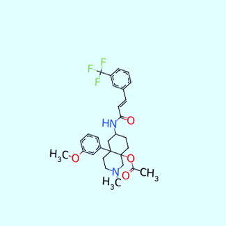 COc1cccc(C23CCN(C)CC2(OC(C)=O)CCC(NC(=O)/C=C/c2cccc(C(F)(F)F)c2)C3)c1